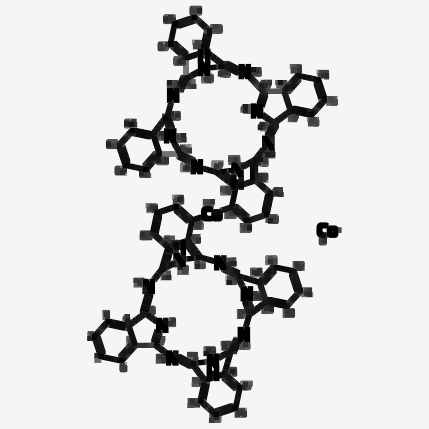 [Co].c1ccc2c(c1)-c1nc-2nc2[nH]c(nc3nc(nc4[nH]c(n1)c1ccccc41)-c1ccccc1-3)c1[c]([Co][c]3cccc4c5nc6nc(nc7[nH]c(nc8nc(nc([nH]5)c34)-c3ccccc3-8)c3ccccc73)-c3ccccc3-6)cccc21